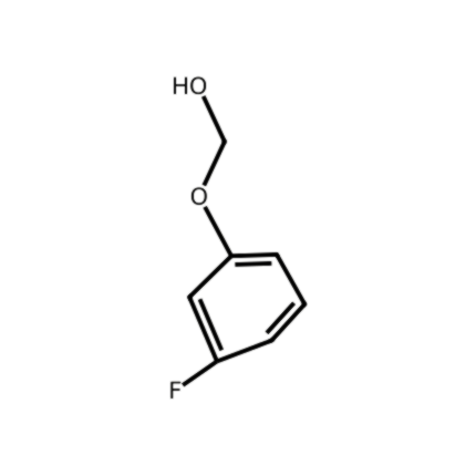 OCOc1cccc(F)c1